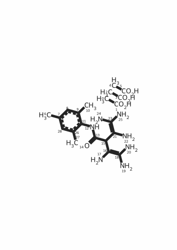 CC(=O)O.CC(=O)O.CC(=O)O.Cc1cc(C)c(NC(=O)C(C(N)=C(N)N)C(N)=C(N)N)c(C)c1